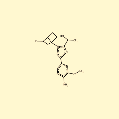 Nc1ncc(-c2cn(C34CCC3C(F)C4)c(C(O)C(F)(F)F)n2)cc1OC(F)(F)F